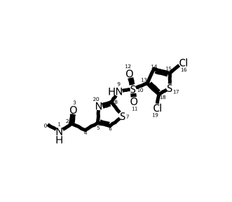 CNC(=O)Cc1csc(NS(=O)(=O)c2cc(Cl)sc2Cl)n1